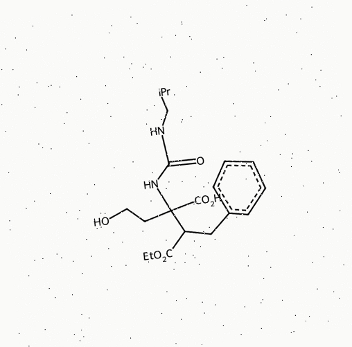 CCOC(=O)C(Cc1ccccc1)C(CCO)(NC(=O)NCC(C)C)C(=O)O